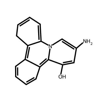 NC1=CN2C3=CC=CCC3=c3ccccc3=C2C(O)=C1